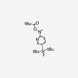 CN(OC(=O)C(C)(C)C)c1ccc([Si](F)(C(C)(C)C)C(C)(C)C)cn1